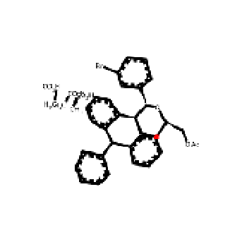 CC(=O)O.CC(=O)O.CC(=O)O.CC(=O)OC[C@H]1CC[C@@H](c2ccccc2C(c2ccccc2)c2ccccc2)[C@@H](c2cccc(Br)c2)O1